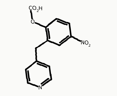 O=C(O)Oc1ccc([N+](=O)[O-])cc1Cc1ccncc1